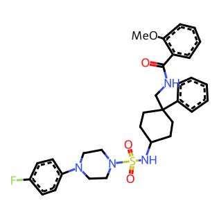 COc1ccccc1C(=O)NCC1(c2ccccc2)CCC(NS(=O)(=O)N2CCN(c3ccc(F)cc3)CC2)CC1